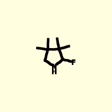 CC1(C)CNC(F)C1(C)C